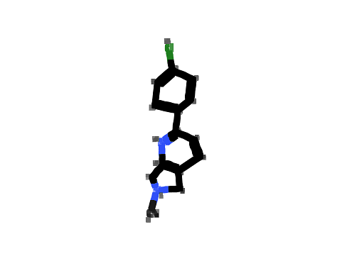 N#CN1Cc2ccc(-c3ccc(Cl)cc3)nc2C1